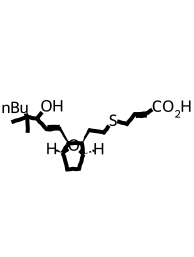 CCCCC(C)(C)C(O)/C=C/[C@H]1[C@@H](CCSCC=CC(=O)O)[C@H]2CC[C@@H]1O2